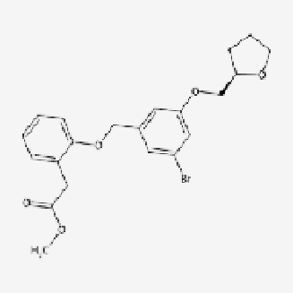 COC(=O)Cc1ccccc1OCc1cc(Br)cc(OC[C@H]2CCCO2)c1